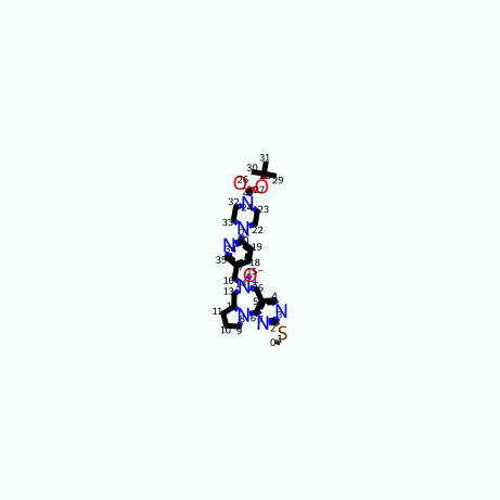 CSc1ncc2c(n1)N1CCCC1C[N+]([O-])(Cc1ccc(N3CCN(C(=O)OC(C)(C)C)CC3)nc1)C2